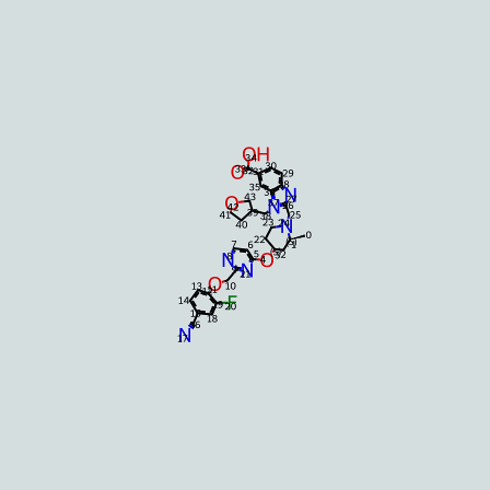 C[C@H]1C[C@@H](Oc2ccnc(COc3ccc(C#N)cc3F)n2)CCN1Cc1nc2ccc(C(=O)O)cc2n1CC1CCOC1